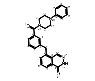 O=C(c1cccc(Cc2cccc3c(=O)[nH]ncc23)c1)N1CCN(c2ccccc2)CC1